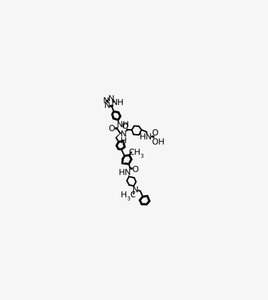 Cc1cc(C(=O)N[C@H]2CC[C@H](N(C)Cc3ccccc3)CC2)ccc1-c1ccc(C[C@H](NC(=O)C2CCC(CNC(=O)O)CC2)C(=O)Nc2ccc(-c3nnn[nH]3)cc2)cc1